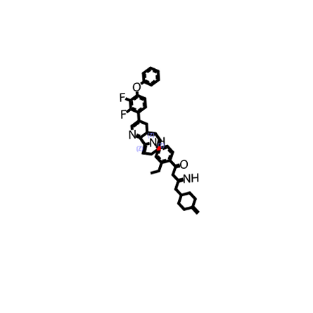 C=C1CCC(CC(=N)CC(=O)c2ccc(N/C3=C\C/C=C\C=C4\CC(c5ccc(Oc6ccccc6)c(F)c5F)=CN=C43)cc2CC)CC1